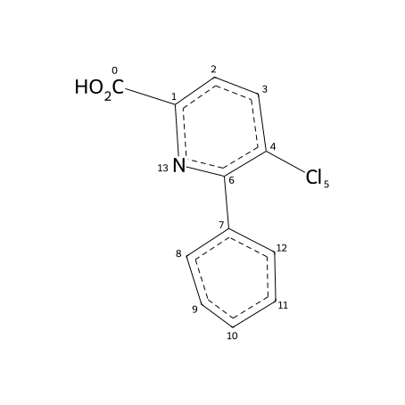 O=C(O)c1ccc(Cl)c(-c2ccccc2)n1